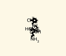 NCCCCC1(C(=O)O)CN(Cc2ccccc2Cl)CCP1(=O)O